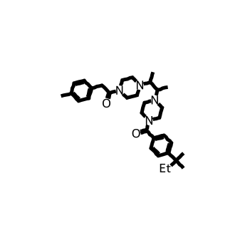 CCC(C)(C)c1ccc(C(=O)N2CCN(C(C)C(C)N3CCN(C(=O)Cc4ccc(C)cc4)CC3)CC2)cc1